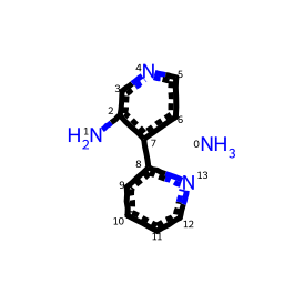 N.Nc1cnccc1-c1ccccn1